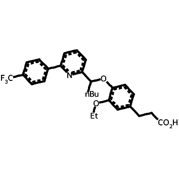 CCCCC(Oc1ccc(CCC(=O)O)cc1OCC)c1cccc(-c2ccc(C(F)(F)F)cc2)n1